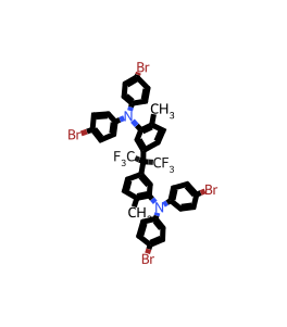 Cc1ccc(C(c2ccc(C)c(N(c3ccc(Br)cc3)c3ccc(Br)cc3)c2)(C(F)(F)F)C(F)(F)F)cc1N(c1ccc(Br)cc1)c1ccc(Br)cc1